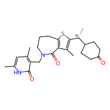 Cc1cc(C)c(CN2CCCc3sc([C@H](C)C4CCC(=O)CC4)c(C)c3C2=O)c(=O)[nH]1